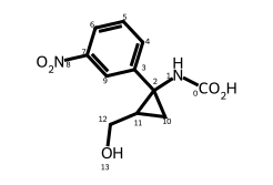 O=C(O)NC1(c2cccc([N+](=O)[O-])c2)CC1CO